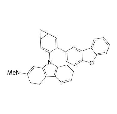 CNC1=Cc2c(c3c(n2C2=CC4CC4C=C2c2ccc4oc5ccccc5c4c2)CCC=C3)CC1